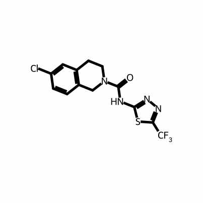 O=C(Nc1nnc(C(F)(F)F)s1)N1CCc2cc(Cl)ccc2C1